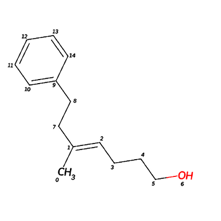 CC(=CCCCO)CCc1ccccc1